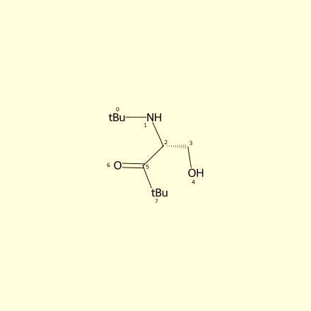 CC(C)(C)N[C@H](CO)C(=O)C(C)(C)C